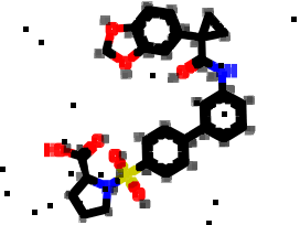 O=C(O)[C@@H]1CCCN1S(=O)(=O)c1ccc(-c2cccc(NC(=O)C3(c4ccc5c(c4)OCO5)CC3)c2)cc1